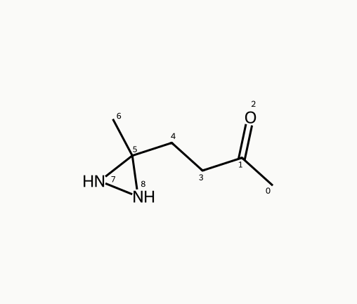 CC(=O)CCC1(C)NN1